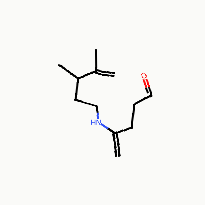 C=C(CCC=O)NCCC(C)C(=C)C